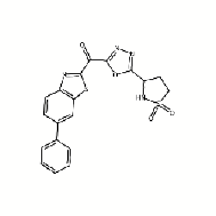 O=C(c1nnc(C2CCS(=O)(=O)N2)o1)c1nc2ccc(-c3ccccc3)cc2s1